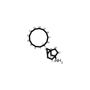 NC12CCC3[C@H](C4CCCCCCCCCCCC4)C3(CC1)C2